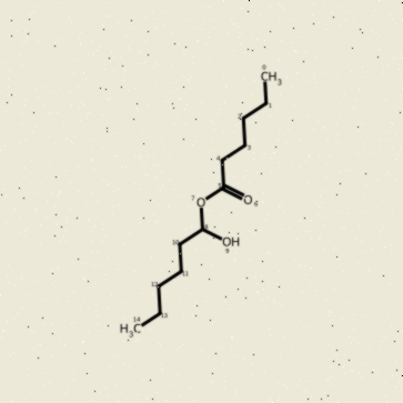 CCCCCC(=O)OC(O)CCCCC